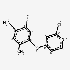 Cc1cc(N)c(F)cc1Oc1ccnc(Cl)c1